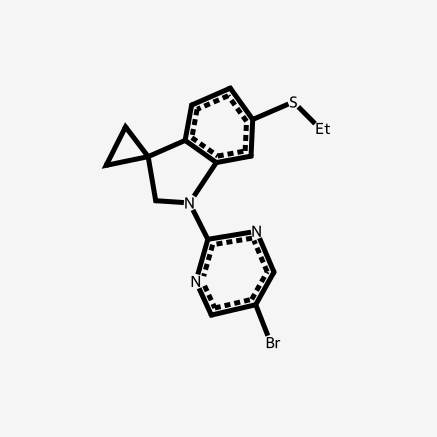 CCSc1ccc2c(c1)N(c1ncc(Br)cn1)CC21CC1